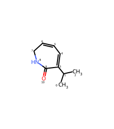 CC(C)C1=CC=CCNC1=O